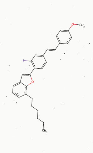 CCCCCCc1cccc2cc(-c3ccc(C=Cc4ccc(OC)cc4)cc3I)oc12